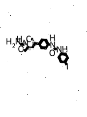 CC[C@@H](C[C@H]1COC(N)=N1)c1ccc(NC(=O)Nc2ccc(I)cc2)cc1